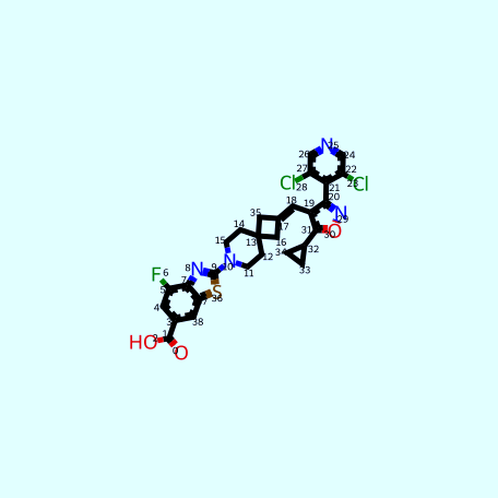 O=C(O)c1cc(F)c2nc(N3CCC4(CC3)CC(=Cc3c(-c5c(Cl)cncc5Cl)noc3C3CC3)C4)sc2c1